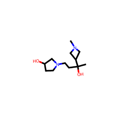 CN1CC(C(C)(O)CCN2CCC(O)C2)C1